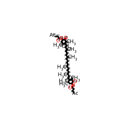 CC(=O)CCC(=O)OC1CC(C)(C)C(/C=C/C(C)=C/C=C/C(C)=C/C=C/C=C(C)/C=C/C=C(C)/C=C/C2=C(C)C(=O)C(OC(=O)CCC(C)=O)CC2(C)C)=C(C)C1=O